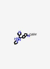 CON=C1CCc2cc(-c3nc(N4C=CC=CC4)[nH]c3-c3ccncc3)ccc21